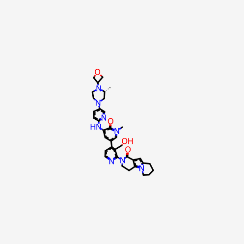 C[C@@H]1CN(c2ccc(Nc3cc(-c4ccnc(N5CCc6c(cc7n6CCCC7)C5=O)c4CO)cn(C)c3=O)nc2)CCN1C1COC1